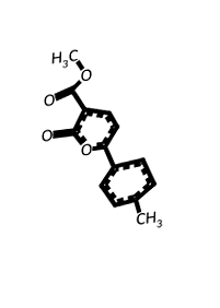 COC(=O)c1ccc(-c2ccc(C)cc2)oc1=O